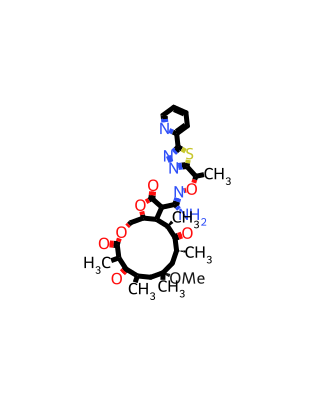 CO[C@@]1(C)CC(C)C(=O)C(C)C(=O)OCC2OC(=O)C(/C(N)=N/OC(C)c3nnc(-c4ccccn4)s3)C2[C@@H](C)C(=O)[C@H](C)C1